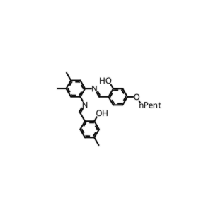 CCCCCOc1ccc(/C=N/c2cc(C)c(C)cc2/N=C/c2ccc(C)cc2O)c(O)c1